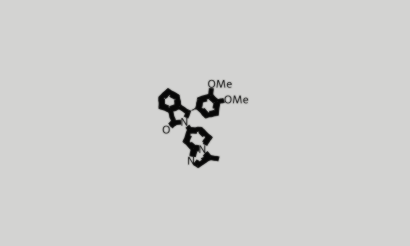 COc1ccc([C@H]2c3ccccc3C(=O)N2c2ccn3c(C)cnc3c2)cc1OC